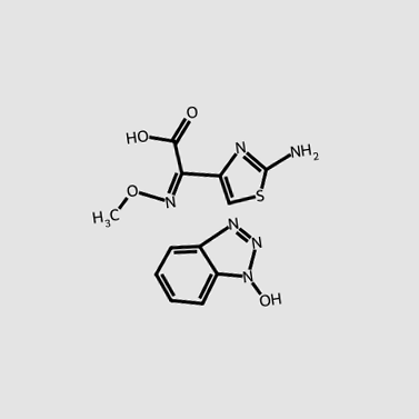 CON=C(C(=O)O)c1csc(N)n1.On1nnc2ccccc21